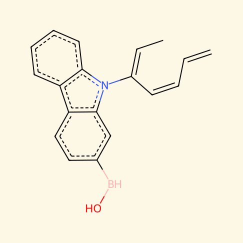 C=C/C=C\C(=C/C)n1c2ccccc2c2ccc(BO)cc21